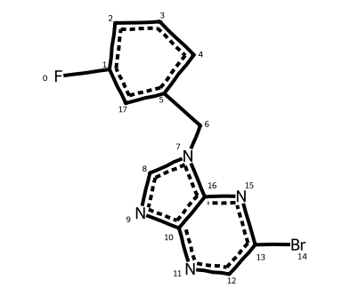 Fc1cccc(Cn2cnc3ncc(Br)nc32)c1